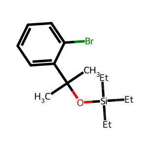 CC[Si](CC)(CC)OC(C)(C)c1ccccc1Br